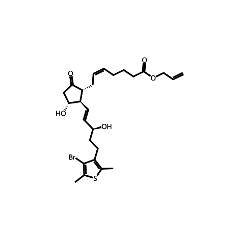 C=CCOC(=O)CCC/C=C\C[C@H]1C(=O)C[C@@H](O)[C@@H]1/C=C/[C@@H](O)CCc1c(C)sc(C)c1Br